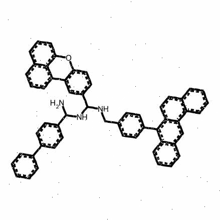 NC(NC(NCc1ccc(-c2c3ccccc3cc3c2ccc2ccccc23)cc1)c1ccc2c(c1)-c1cccc3cccc(c13)O2)c1ccc(-c2ccccc2)cc1